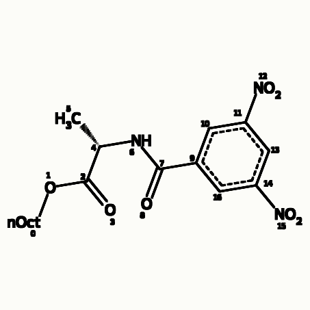 CCCCCCCCOC(=O)[C@H](C)NC(=O)c1cc([N+](=O)[O-])cc([N+](=O)[O-])c1